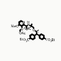 CCOC(=O)c1ccc(C(c2ccc(C(=O)OCC)cc2)[C@H](C)OC[C@@](C)(C=O)NC(=O)c2nccc(OC)c2OCOC(C)=O)cc1